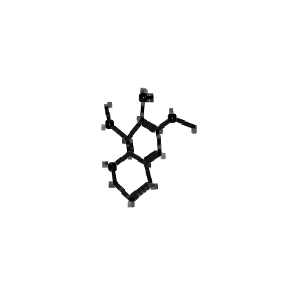 COc1cc2c(c(OC)c1O)OCC=C2